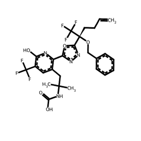 C=CCC[C@@](OCc1ccccc1)(c1nnc(-c2nc(O)c(C(F)(F)F)cc2CC(C)(C)NC(=O)O)o1)C(F)(F)F